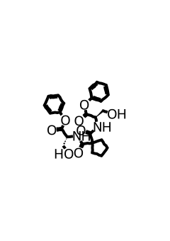 O=C(Oc1ccccc1)[C@@H](CO)NC(=O)C1(C(=O)N[C@H](CO)C(=O)Oc2ccccc2)CCCC1